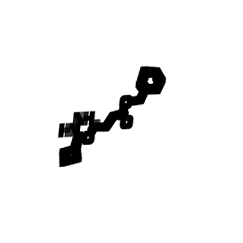 NNC(OCCCC(=O)OCc1ccccc1)=C1CCC1